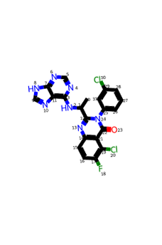 CC(Nc1ncnc2[nH]cnc12)c1nc2ccc(F)c(Cl)c2c(=O)n1-c1cccc(Cl)c1